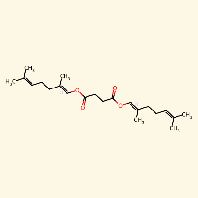 CC(C)=CCC/C(C)=C/OC(=O)CCC(=O)O/C=C(\C)CCC=C(C)C